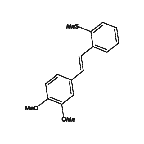 COc1ccc(/C=C/c2ccccc2SC)cc1OC